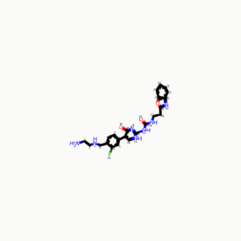 NCCNCc1ccc(-c2c[nH]c(NC(=O)NCCc3nc4ccccc4o3)nc2=O)cc1F